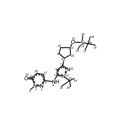 Cn1nc(Nc2cc([C@H]3CC[C@@H](O[Si](C)(C)C(C)(C)C)C3)nn2C(C)(C)C)ccc1=O